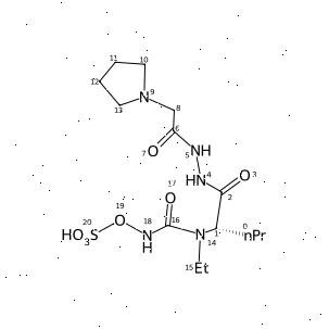 CCC[C@@H](C(=O)NNC(=O)CN1CCCC1)N(CC)C(=O)NOS(=O)(=O)O